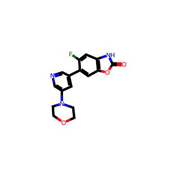 O=c1[nH]c2cc(F)c(-c3cncc(N4CCOCC4)c3)cc2o1